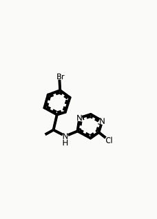 CC(Nc1cc(Cl)ncn1)c1ccc(Br)cc1